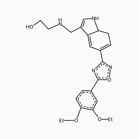 CCOc1ccc(-c2nc(C3=CCC4NC=C(CNCCO)C4=C3)no2)cc1OCC